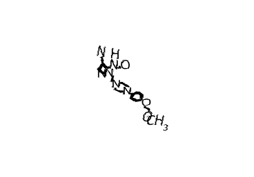 COCCOc1ccc(N2CCN(CCn3ncc(C#N)c3NC=O)CC2)cc1